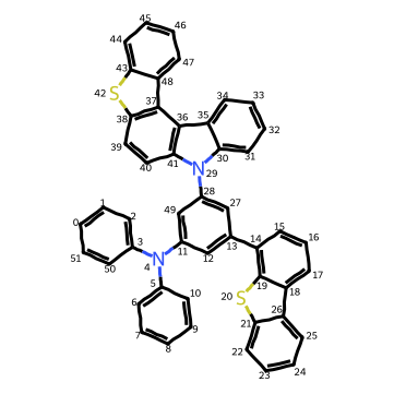 c1ccc(N(c2ccccc2)c2cc(-c3cccc4c3sc3ccccc34)cc(-n3c4ccccc4c4c5c(ccc43)sc3ccccc35)c2)cc1